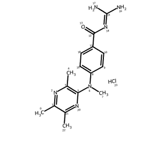 Cc1nc(C)c(N(C)c2ccc(C(=O)N=C(N)N)cc2)nc1C.Cl